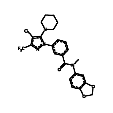 CN(C(=O)c1cccc(-n2nc(C(F)(F)F)c(Cl)c2N2CCCCC2)c1)c1ccc2c(c1)OCO2